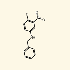 O=[N+]([O-])c1cc(NCc2ccccc2)ccc1F